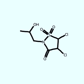 CC(O)CN1C(=O)C(Cl)C(Cl)S1(=O)=O